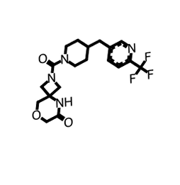 O=C1COCC2(CN(C(=O)N3CCC(Cc4ccc(C(F)(F)F)nc4)CC3)C2)N1